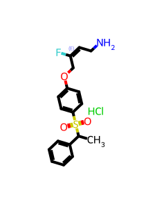 CC(c1ccccc1)S(=O)(=O)c1ccc(OC/C(F)=C\CN)cc1.Cl